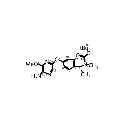 COc1nc(Oc2ccc([C@@H](C)N(C)C(=O)OC(C)(C)C)cc2)cnc1N